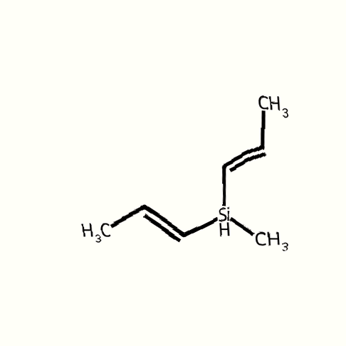 CC=C[SiH](C)C=CC